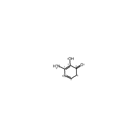 NC1=C(O)C(=O)CC=N1